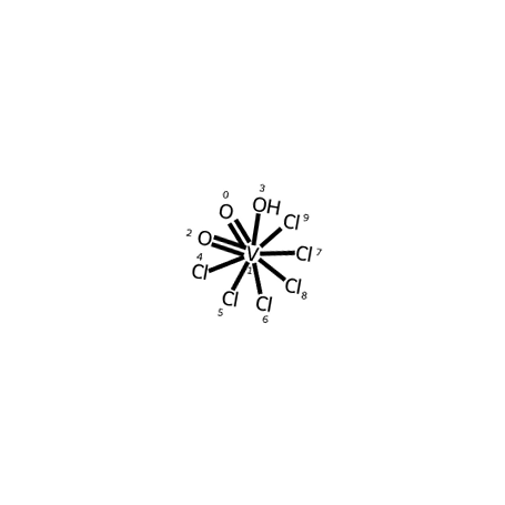 [O]=[V](=[O])([OH])([Cl])([Cl])([Cl])([Cl])([Cl])[Cl]